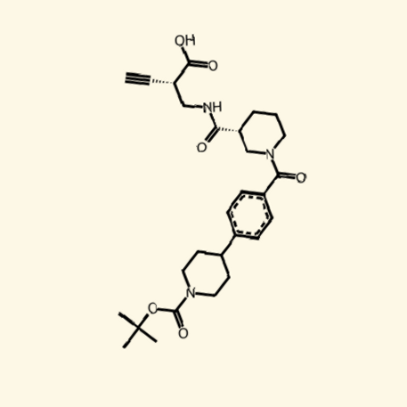 C#C[C@@H](CNC(=O)[C@@H]1CCCN(C(=O)c2ccc(C3CCN(C(=O)OC(C)(C)C)CC3)cc2)C1)C(=O)O